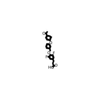 CC(=O)c1ccc(Oc2cccc(COc3c(F)cc(CCC(=O)O)cc3F)c2)cc1